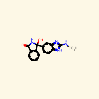 O=C(O)Nc1nc2cc(C3(O)NC(=O)c4ccccc43)ccc2[nH]1